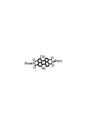 CCC[C@@H](C)N1C(=O)c2ccc3c4c(C#N)cc5c6c(ccc(c7c(C#N)cc(c2c37)C1=O)c64)C(=O)N([C@H](C)CCC)C5=O